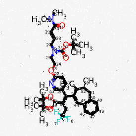 CC1C(/C(=C(\CC(F)(F)F)B2OC(C)(C)C(C)(C)O2)c2ccc(OCCN(C/C=C/C(=O)N(C)C)C(=O)OC(C)(C)C)nc2)=Cc2ccccc2C[C@H]1C